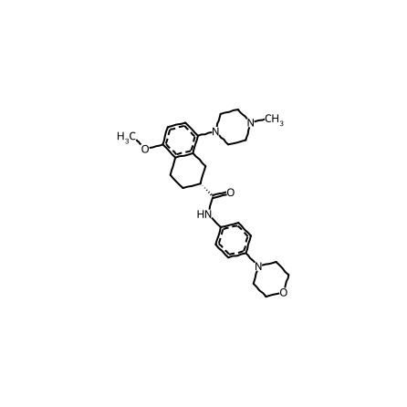 COc1ccc(N2CCN(C)CC2)c2c1CC[C@@H](C(=O)Nc1ccc(N3CCOCC3)cc1)C2